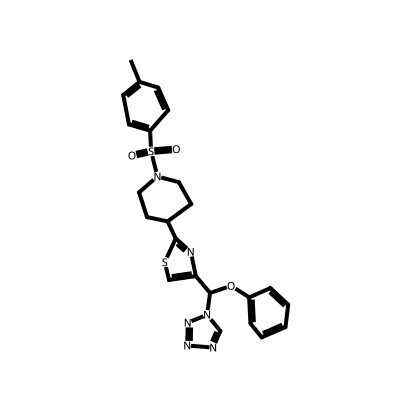 Cc1ccc(S(=O)(=O)N2CCC(c3nc(C(Oc4ccccc4)n4cnnn4)cs3)CC2)cc1